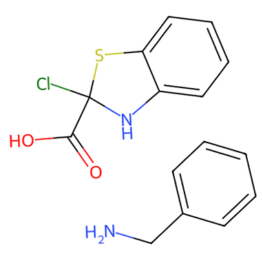 NCc1ccccc1.O=C(O)C1(Cl)Nc2ccccc2S1